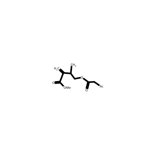 C=C(C(=O)OC)C(C)COC(=O)CC(C)=O